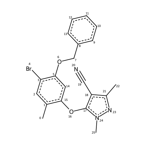 Cc1cc(Br)c(OCc2ccccc2)cc1Oc1c(C#N)c(C)nn1C